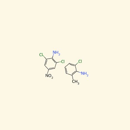 Cc1cccc(Cl)c1N.Nc1c(Cl)cc([N+](=O)[O-])cc1Cl